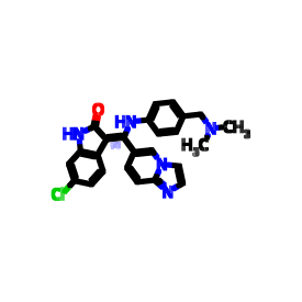 CN(C)Cc1ccc(N/C(=C2\C(=O)Nc3cc(Cl)ccc32)c2ccc3nccn3c2)cc1